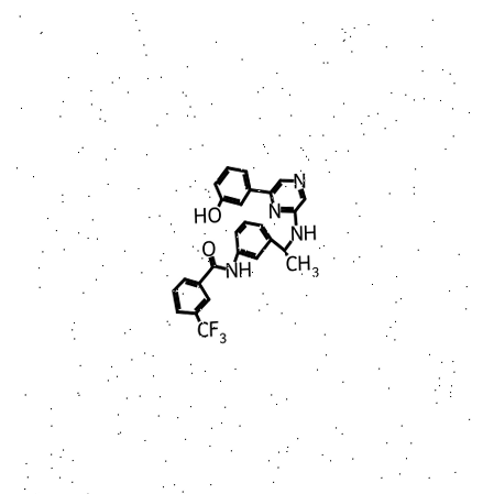 C[C@H](Nc1cncc(-c2cccc(O)c2)n1)c1cccc(NC(=O)c2cccc(C(F)(F)F)c2)c1